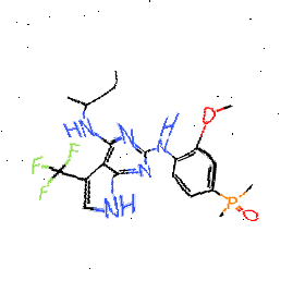 CCC(C)Nc1nc(Nc2ccc(P(C)(C)=O)cc2OC)nc2[nH]cc(C(F)(F)F)c12